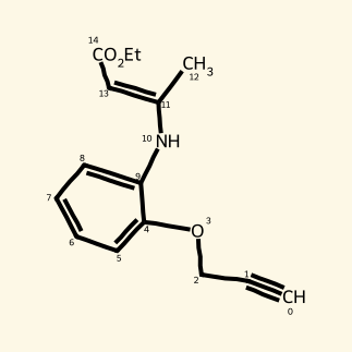 C#CCOc1ccccc1NC(C)=CC(=O)OCC